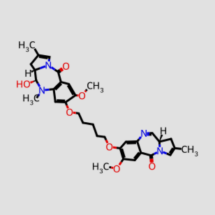 COc1cc2c(cc1OCCCCCOc1cc3c(cc1OC)C(=O)N1C=C(C)C[C@H]1[C@H](O)N3C)N=C[C@@H]1CC(C)=CN1C2=O